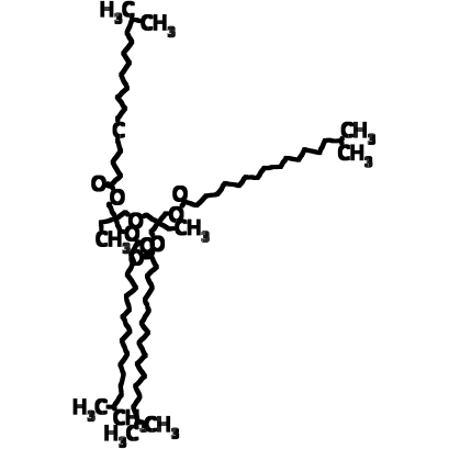 CCC(COCC(CC)(COC(=O)CCCCCCCCCCCCCCC(C)C)COC(=O)CCCCCCCCCCCCCCC(C)C)(COC(=O)CCCCCCCCCCCCCCC(C)C)COC(=O)CCCCCCCCCCCCCCC(C)C